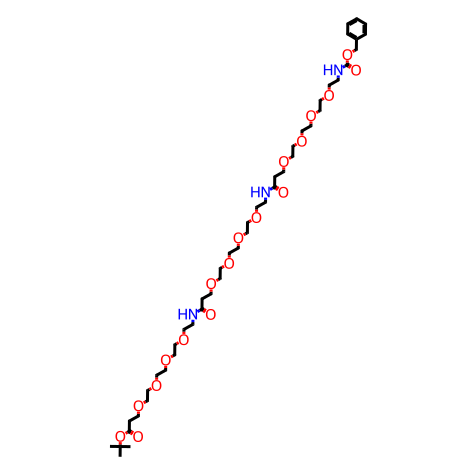 CC(C)(C)OC(=O)CCOCCOCCOCCOCCNC(=O)CCOCCOCCOCCOCCNC(=O)CCOCCOCCOCCOCCNC(=O)OCc1ccccc1